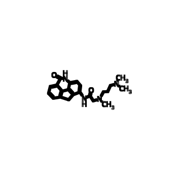 CN(C)CCCN(C)CC(=O)Nc1ccc2[nH]c(=O)c3cccc4c3c2c1C4